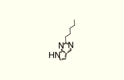 CCCCCc1ncc2cc[nH]c2n1